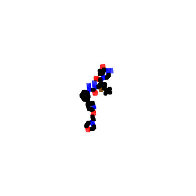 CC(C)(C)c1cc(C(=O)N2CCNC(=O)C2(C)C)c(NC(=O)Nc2cccc(-c3ccc(OCCN4CCOCC4)nc3)c2)s1